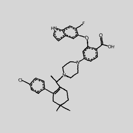 CC(C1=C(c2ccc(Cl)cc2)CC(C)(C)CC1)N1CCN(c2ccc(C(=O)O)c(Oc3cc4cc[nH]c4cc3F)c2)CC1